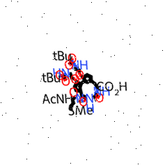 CSCC[C@H](NC(C)=O)C(=O)N(C)[C@@H]1C(=O)N[C@@H](C)C(=O)N[C@H](C(=O)O)Cc2ccc(OCCNC(=O)OC(C)(C)C)c(c2)-c2cc1ccc2OCCNC(=O)OC(C)(C)C